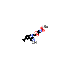 CC(C)(C)OC(=O)N1CC2(COC(CCN(Cc3ccc(C4CC4)cc3)c3ccc(C#N)nc3)OC2)C1